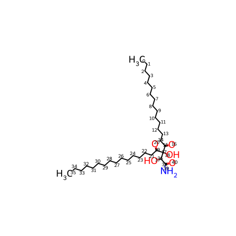 CCCCCCCCCCCCCCCC(=O)C(O)(C(=O)CCCCCCCCCCCCCCC)C(O)C(N)=O